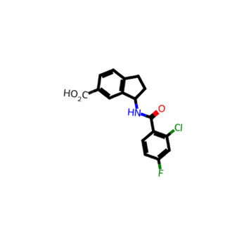 O=C(O)c1ccc2c(c1)C(NC(=O)c1ccc(F)cc1Cl)CC2